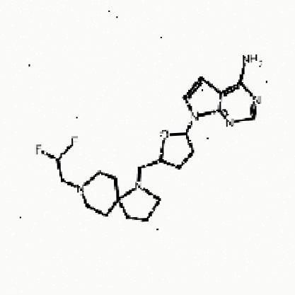 Nc1ncnc2c1ccn2C1CCC(CN2CCCC23CCN(CC(F)F)CC3)O1